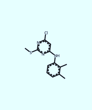 CSc1nc(Cl)cc(Nc2cccc(C)c2C)n1